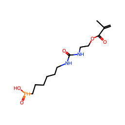 C=C(C)C(=O)OCCNC(=O)NCCCCCC[PH](=O)O